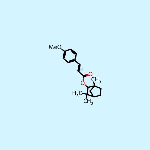 COc1ccc(/C=C/C(=O)OC2C3(C)CCC(C3)C2(C)C)cc1